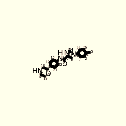 Cc1ccc(-n2cc(C(=O)Nc3ccc([C@H]4CNCCO4)cc3)nn2)cc1